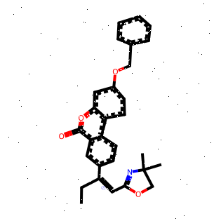 CC/C(=C/C1=NC(C)(C)CO1)c1ccc2c(c1)c(=O)oc1cc(OCc3ccccc3)ccc12